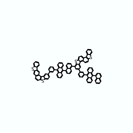 c1cc(-c2cc(-c3cccc4c(-c5c6ccccc6c(-c6cccc(-c7ccc8sc9ccc%10cc%11sc%12ccccc%12c%11cc%10c9c8c7)c6)c6ccccc56)cccc34)c3sc4ccc5c(ccc6sc7ccccc7c65)c4c3c2)cc(-c2c3ccccc3c(-c3cccc4ccccc34)c3ccccc23)c1